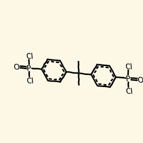 CC(C)(c1ccc(P(=O)(Cl)Cl)cc1)c1ccc(P(=O)(Cl)Cl)cc1